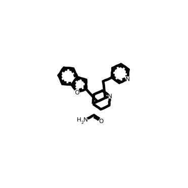 NC=O.c1cncc(CC2C(c3cc4ccccc4o3)C3CCN2CC3)c1